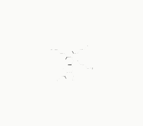 CCCCCCCCCCCCCC(=O)N(C(=O)CCCCCCCCCCCCC)[C@@H](CCCCN)C(=O)OC(CO)C(O)C(=O)OC(C)(C)C